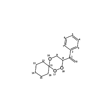 C=C(c1ccccc1)C1COC2(CC[CH]CC2)OO1